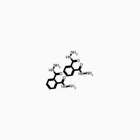 NNC(=O)c1ccccc1C(=O)NN.NNC(=O)c1ccccc1C(=O)NN